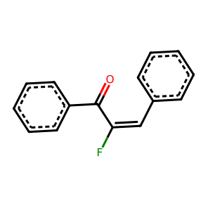 O=C(/C(F)=C\c1ccccc1)c1ccccc1